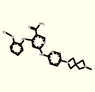 CCOc1ccccc1Nc1cc(Nc2ccc(N3CC4(CN(C)C4)C3)cn2)ncc1C(N)=O